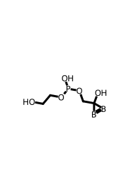 OCCOP(O)OCC1(O)B=B1